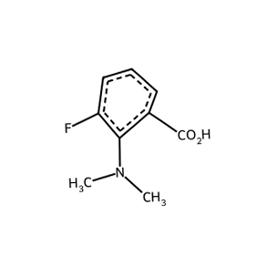 CN(C)c1c(F)cccc1C(=O)O